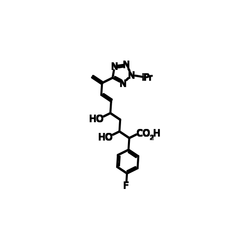 C=C(C=CC(O)CC(O)C(C(=O)O)c1ccc(F)cc1)c1nnn(C(C)C)n1